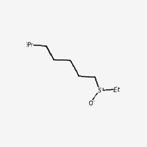 CC[S+]([O-])CCCCCC(C)C